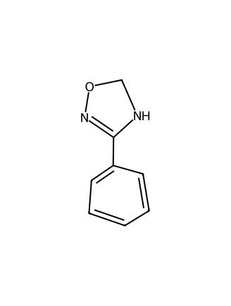 c1ccc(C2=NOCN2)cc1